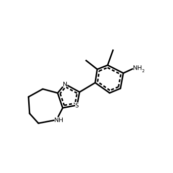 Cc1c(N)ccc(-c2nc3c(s2)NCCCC3)c1C